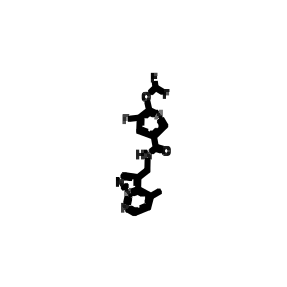 Cc1ccnn2ncc(CNC(=O)c3cnc(OC(F)F)c(F)c3)c12